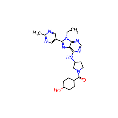 CCn1c(-c2cnc(C)nc2)nc2c(N[C@H]3CCN(C(=O)C4CCC(O)CC4)C3)ncnc21